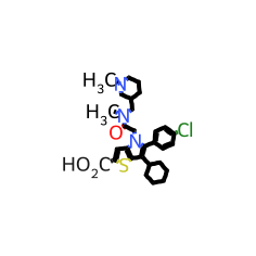 CN1CCCC(CN(C)C(=O)Cn2c(-c3ccc(Cl)cc3)c(C3CCCCC3)c3sc(C(=O)O)cc32)C1